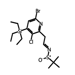 CC[Si](CC)(CC)c1cc(Br)nc(C/C=N/[S+]([O-])C(C)(C)C)c1Cl